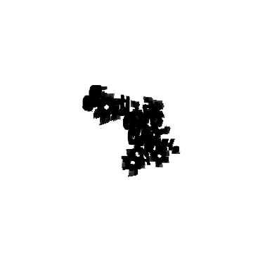 CC(C)C[C@H](NC(=O)C(Cc1ccccc1)NC(=O)c1ccccc1N)C(=O)N(C(=O)OC(C)(C)C)[C@@H](C)C(=O)NCc1ccc([N+](=O)[O-])cc1